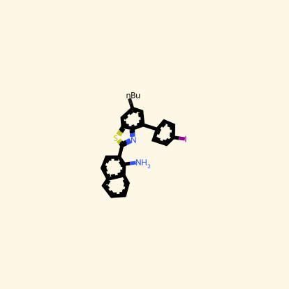 CCCCc1cc(-c2ccc(I)cc2)c2nc(-c3ccc4ccccc4c3N)sc2c1